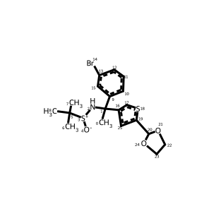 CC(N[S+]([O-])C(C)(C)C)(c1cccc(Br)c1)c1csc(C2OCCO2)c1